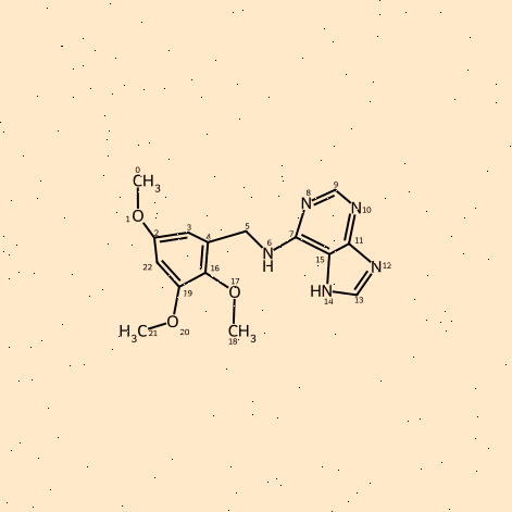 COc1cc(CNc2ncnc3nc[nH]c23)c(OC)c(OC)c1